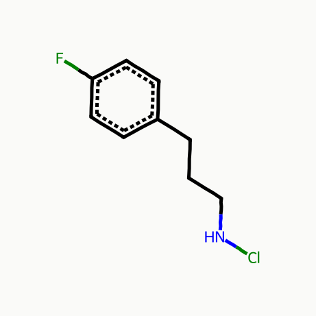 Fc1ccc(CCCNCl)cc1